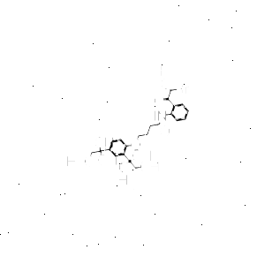 CCC(C)(C)c1ccc(OCCCC(=O)Nc2ccccc2C(=O)C(C)Br)c(C(C)(C)CC)c1